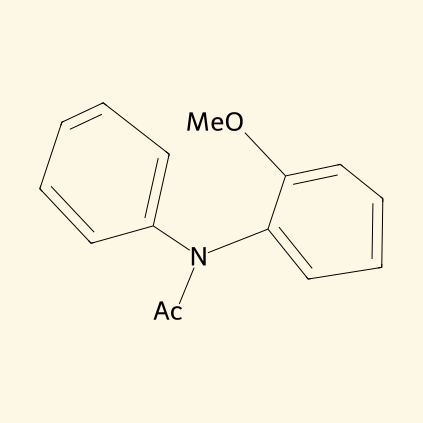 COc1ccccc1N(C(C)=O)c1ccccc1